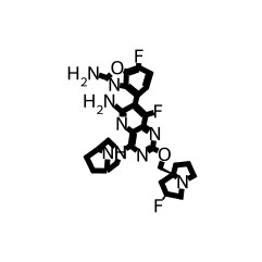 Nc1nc2c(-c3c(N)nc4c(N5CC6CCC(C5)N6)nc(OC[C@@]56CCCN5C[C@H](F)C6)nc4c3F)ccc(F)c2o1